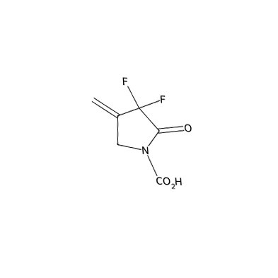 C=C1CN(C(=O)O)C(=O)C1(F)F